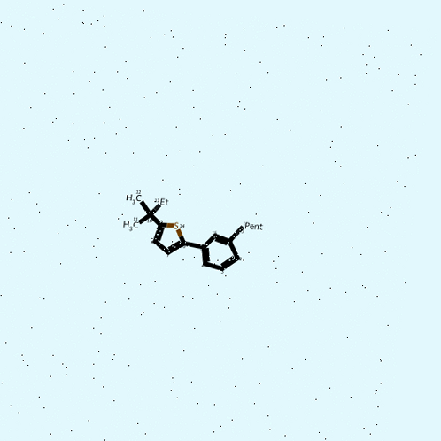 CCCC(C)c1cccc(-c2ccc(C(C)(C)CC)s2)c1